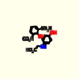 O=C(O)CNc1ccc(O)cc1.O=C(O)c1cccc(S(=O)(=O)O)c1O